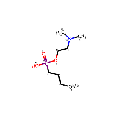 COCCCP(=O)(O)OCCN(C)C